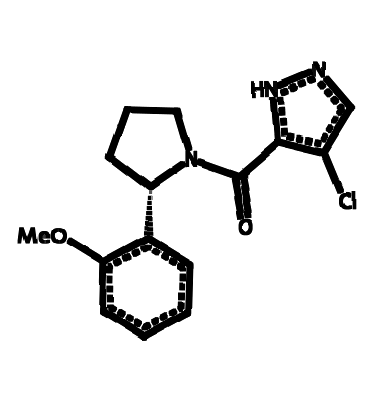 COc1ccccc1[C@@H]1CCCN1C(=O)c1[nH]ncc1Cl